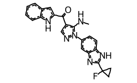 CNc1c(C(=O)c2cc3ccccc3[nH]2)cnn1-c1ccc2[nH]c(C3(F)CC3)nc2c1